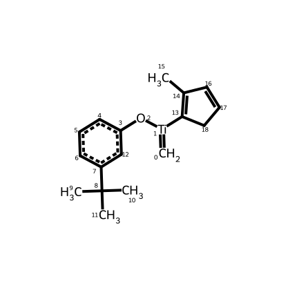 [CH2]=[Ti]([O]c1cccc(C(C)(C)C)c1)[C]1=C(C)C=CC1